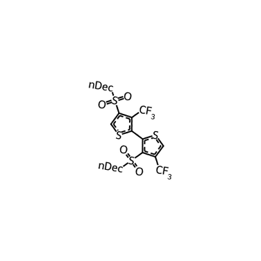 CCCCCCCCCCS(=O)(=O)c1csc(-c2scc(C(F)(F)F)c2S(=O)(=O)CCCCCCCCCC)c1C(F)(F)F